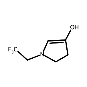 OC1=CN(CC(F)(F)F)CC1